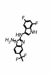 CC(F)(F)c1ccc2c(c1)nc(Nc1c[nH]c3c(F)cc(F)cc13)n2N